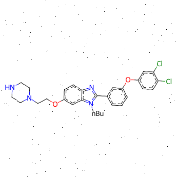 CCCCn1c(-c2cccc(Oc3ccc(Cl)c(Cl)c3)c2)nc2ccc(OCCN3CCNCC3)cc21